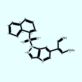 CN/C=C(\C=N)c1cnc2cnn(S(=O)(=O)c3cccc4ccccc34)c2c1